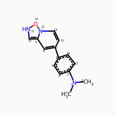 CN(C)c1ccc(C2=CC3=CNON3C=C2)cc1